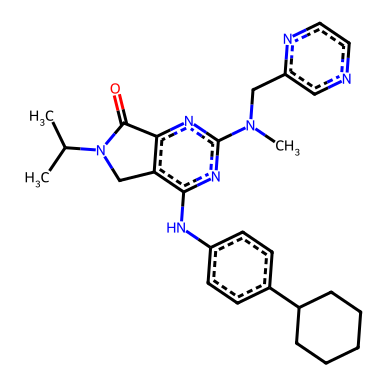 CC(C)N1Cc2c(Nc3ccc(C4CCCCC4)cc3)nc(N(C)Cc3cnccn3)nc2C1=O